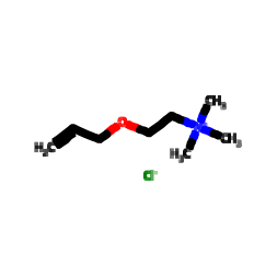 C=CCOCC[N+](C)(C)C.[Cl-]